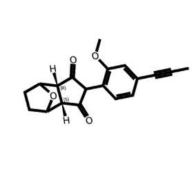 CC#Cc1ccc(C2C(=O)[C@@H]3C4CCC(O4)[C@@H]3C2=O)c(OC)c1